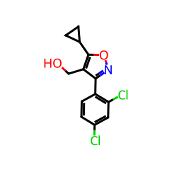 OCc1c(-c2ccc(Cl)cc2Cl)noc1C1CC1